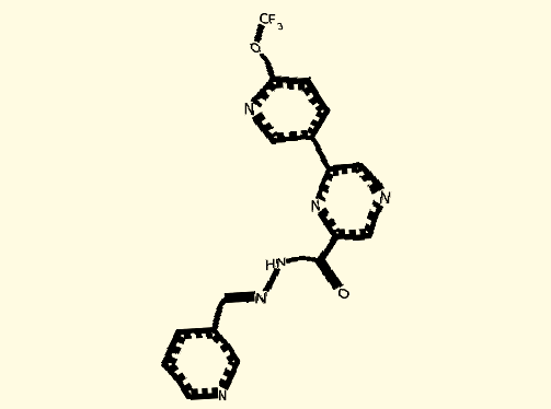 O=C(N/N=C/c1cccnc1)c1cncc(-c2ccc(OC(F)(F)F)nc2)n1